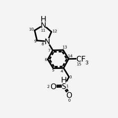 O=[SH](=O)Cc1ccc(N2CCNC2)cc1C(F)(F)F